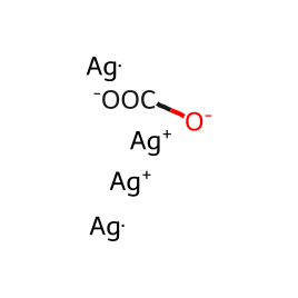 O=C([O-])[O-].[Ag+].[Ag+].[Ag].[Ag]